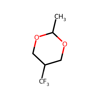 CC1OCC(C(F)(F)F)CO1